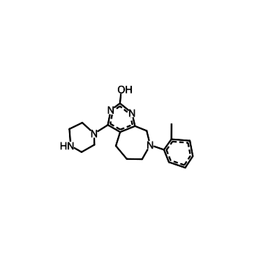 Cc1ccccc1N1CCCc2c(nc(O)nc2N2CCNCC2)C1